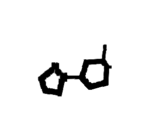 Cc1[c]ccc(-n2cccn2)c1